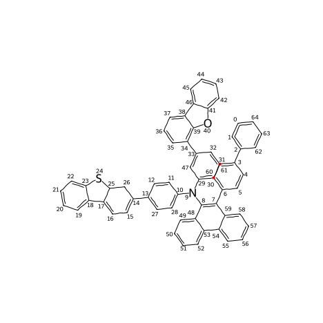 C1=C=C(c2ccc(-c3c(N(c4ccc(C5=CC=C6c7ccccc7SC6C5)cc4)c4cccc(-c5cccc6c5oc5ccccc56)c4)c4ccccc4c4ccccc34)cc2)C=CC=1